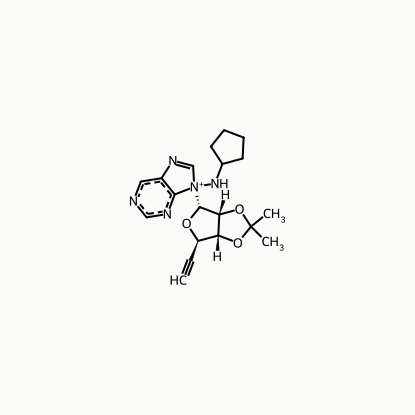 C#C[C@H]1O[C@H]([N+]2(NC3CCCC3)C=Nc3cncnc32)[C@@H]2OC(C)(C)O[C@@H]21